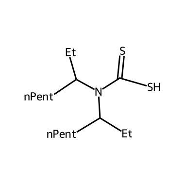 CCCCCC(CC)N(C(=S)S)C(CC)CCCCC